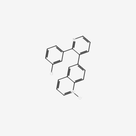 [O-][n+]1cccc2cc(-c3cccnc3-c3cccc(Cl)c3)ccc21